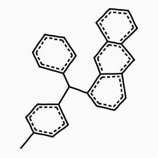 Cc1ccc([C](c2ccccc2)c2cccc3cc4ccccc4cc23)cc1